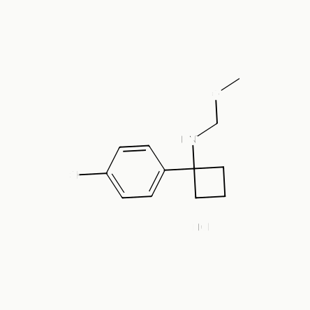 COCNC1(c2ccc(Cl)cc2)CCC1.Cl